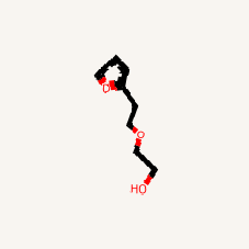 OCCOCCc1ccco1